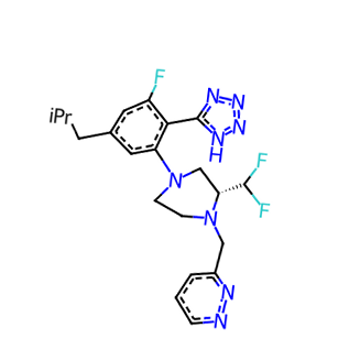 CC(C)Cc1cc(F)c(-c2nnn[nH]2)c(N2CCN(Cc3cccnn3)[C@@H](C(F)F)C2)c1